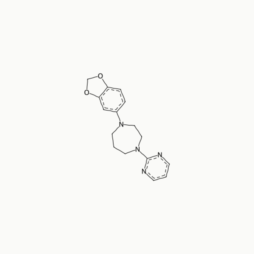 c1cnc(N2CCCN(c3ccc4c(c3)OCO4)CC2)nc1